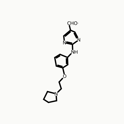 O=[C]c1cnc(Nc2cccc(OCCN3CCCC3)c2)nc1